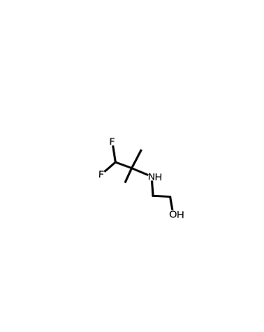 CC(C)(NCCO)C(F)F